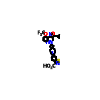 O=C(O)c1nsc2cc(N3C4CCC3CC3(CC(NCc5c(-c6ccccc6OC(F)(F)F)noc5C5CC5)C3)C4)ccc12